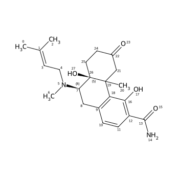 CC(C)=CCN(C)[C@@H]1Cc2ccc(C(N)=O)c(O)c2C2(C)CC(=O)CC[C@@]12O